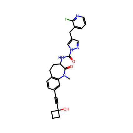 CN1C(=O)C(NC(=O)n2cc(Cc3cccnc3F)cn2)CCc2ccc(C#CC3(O)CCC3)cc21